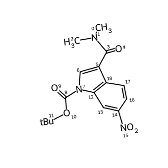 CN(C)C(=O)c1cn(C(=O)OC(C)(C)C)c2cc([N+](=O)[O-])ccc12